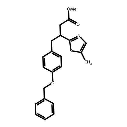 COC(=O)CC(Cc1ccc(OCc2ccccc2)cc1)c1ncc(C)s1